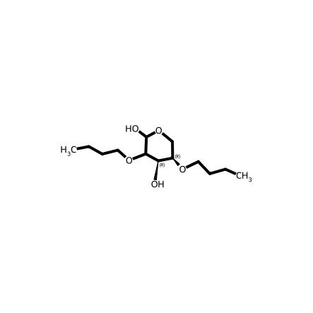 CCCCOC1C(O)OC[C@@H](OCCCC)[C@H]1O